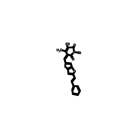 CCN1C(=O)C(C#N)=C(C)/C(=C/c2cc3oc(/C=C/c4ccccc4)cc3s2)C1=O